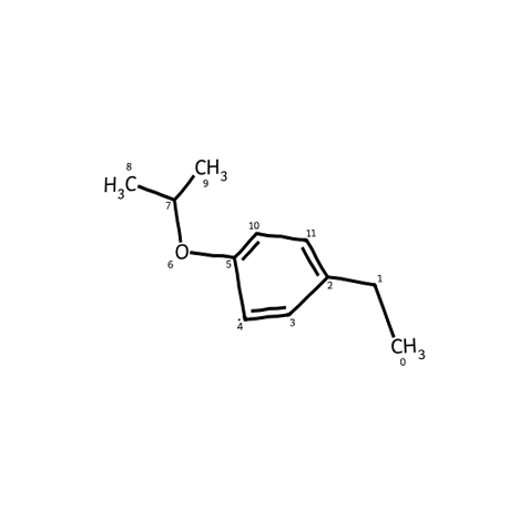 CCc1c[c]c(OC(C)C)cc1